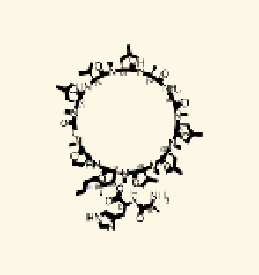 C/C=C/C[C@@H](C)[C@@H](OC(=O)[C@H](Cc1c[nH]cn1)NC(=O)[C@H](C)N)[C@H]1C(=O)N[C@@H](CC)C(=O)N(C)CC(=O)N(C)[C@@H](CC(C)C)C(=O)N[C@@H](C(C)C)C(=O)N(C)[C@@H](CC(C)C)C(=O)N[C@@H](C)C(=O)N[C@H](C)C(=O)N(C)[C@@H](CC(C)C)C(=O)N(C)[C@@H](CC(C)C)C(=O)N(C)[C@@H](C(C)C)C(=O)N1C